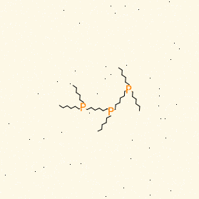 CCCCCCP(CCCCCC)CCCCCCP(CCCCCC)CCCCCCP(CCCCCC)CCCCCC